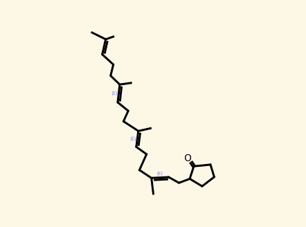 CC(C)=CCC/C(C)=C/CC/C(C)=C/CC/C(C)=C/CC1CCCC1=O